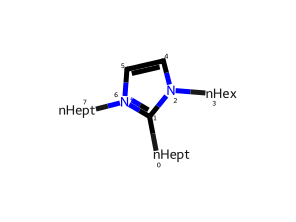 CCCCCCCc1n(CCCCCC)cc[n+]1CCCCCCC